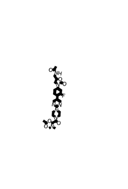 CC(=O)NCC1CN(c2ccc(-c3cnc(N4CCN(C(=O)[C@H](OC(C)=O)N(C)C)CC4)nc3)c(F)c2)C(=O)O1